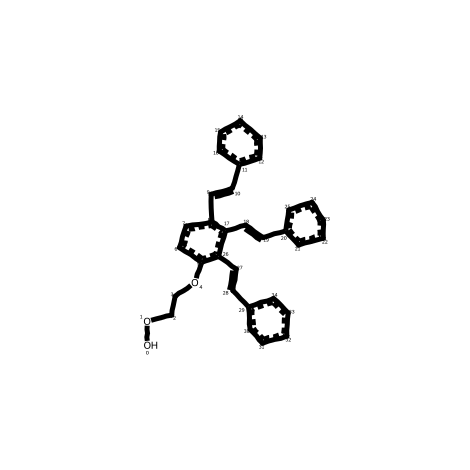 OOCCOc1ccc(C=Cc2ccccc2)c(C=Cc2ccccc2)c1C=Cc1ccccc1